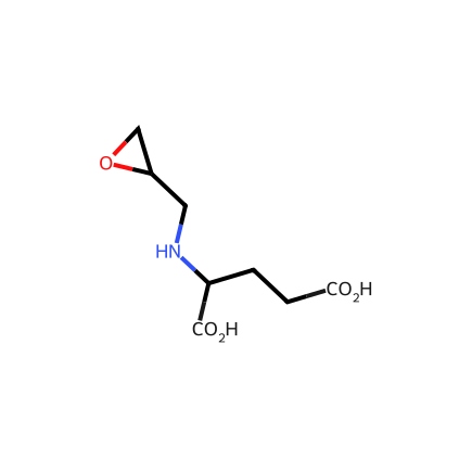 O=C(O)CCC(NCC1CO1)C(=O)O